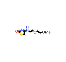 COCCOCCNC1=NC(=O)SC1